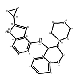 c1ccc2c(c1)OCC(N1CCOCC1)C2Nc1nccc2[nH]c(C3CC3)cc12